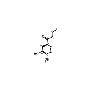 C/C=C/C(=O)c1ccc(O)c(O)c1